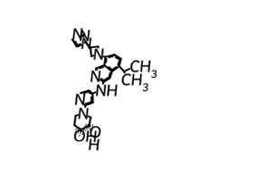 CC(C)c1ccc(N2CC(n3ccnn3)C2)c2cnc(Nc3ccnc(N4CC[C@@H](O)[C@H](O)C4)c3)cc12